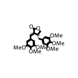 COc1cc(/C=C2/C(=O)OC[C@@H]2Cc2cc(OC)c(OC)c(OC)c2)cc(OC)c1OC